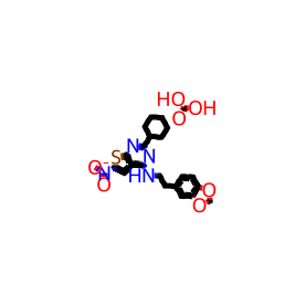 O=C(O)O.O=[N+]([O-])c1cc2c(NCCc3ccc4c(c3)OCO4)nc(C3CCCCC3)nc2s1